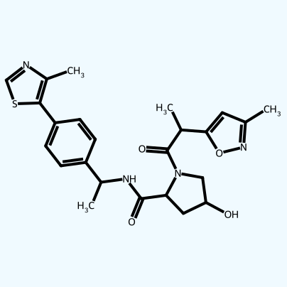 Cc1cc(C(C)C(=O)N2CC(O)CC2C(=O)NC(C)c2ccc(-c3scnc3C)cc2)on1